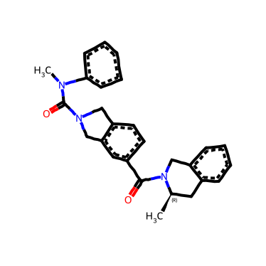 C[C@@H]1Cc2ccccc2CN1C(=O)c1ccc2c(c1)CN(C(=O)N(C)c1ccccc1)C2